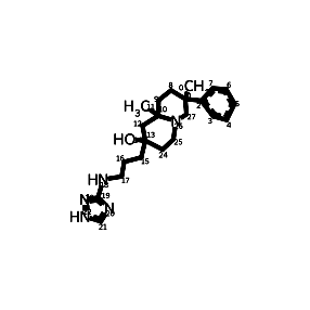 CC1(c2ccccc2)CCC2(C)CC(O)(CCCNc3nc[nH]n3)CCN2C1